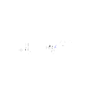 O=C(CCCCCC[SH]1N/C(=C/c2ccc3c(c2)CCO3)OO1)NO